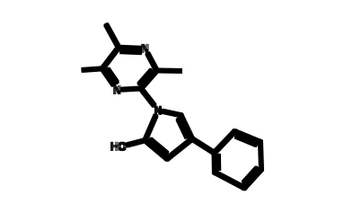 Cc1nc(C)c(-n2cc(-c3ccccc3)cc2O)nc1C